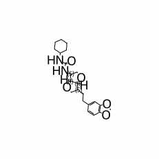 O=C(NC1CCCCC1)N[C@H]1CO[C@@H]2[C@@H](CCc3ccc4c(c3)OCO4)CO[C@@H]21